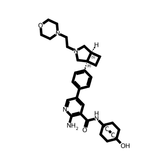 Nc1ncc(-c2ccc([C@@]34CC[C@@H]3CN(CCN3CCOCC3)C4)cc2)cc1C(=O)NC12CCC(O)(CC1)CC2